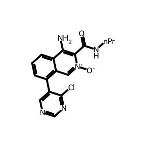 CCCNC(=O)c1c(N)c2cccc(-c3cncnc3Cl)c2c[n+]1[O-]